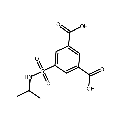 CC(C)NS(=O)(=O)c1cc(C(=O)O)cc(C(=O)O)c1